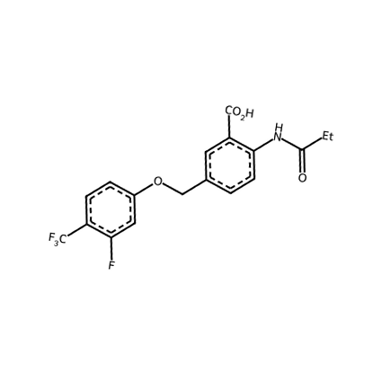 CCC(=O)Nc1ccc(COc2ccc(C(F)(F)F)c(F)c2)cc1C(=O)O